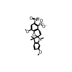 COc1ccc2c(c1)N(C)C1(C=Cc3c(c(OC)cc([N+](=O)[O-])c3[N+](=O)[O-])O1)C2(C)C